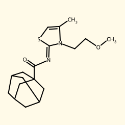 COCCn1c(C)cs/c1=N\C(=O)C12CC3CC(CC(C3)C1)C2